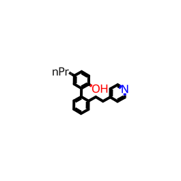 CCCc1ccc(O)c(-c2ccccc2CCc2ccncc2)c1